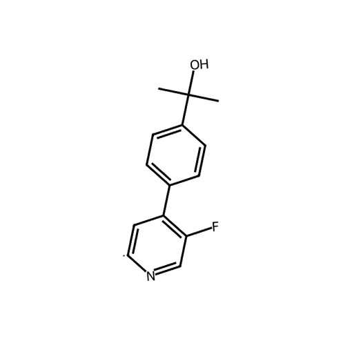 CC(C)(O)c1ccc(-c2c[c]ncc2F)cc1